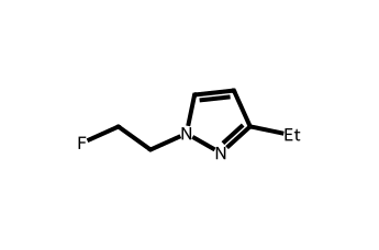 CCc1ccn(CCF)n1